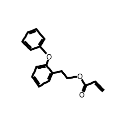 C=CC(=O)OCCc1ccccc1Oc1ccccc1